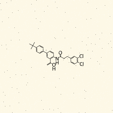 C=C(O)c1cc(-c2ccc(C(C)(C)C)cc2)ccc1NC(=O)CCc1ccc(Cl)c(Cl)c1